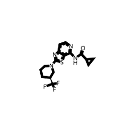 O=C(Nc1nccc2nc(N3CCC[C@H](C(F)(F)F)C3)sc12)C1CC1